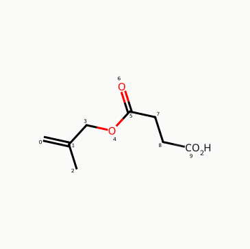 C=C(C)COC(=O)CCC(=O)O